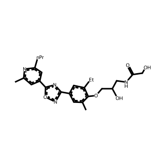 CCCc1cc(-c2nc(-c3cc(C)c(OCC(O)CNC(=O)CO)c(CC)c3)no2)cc(C)n1